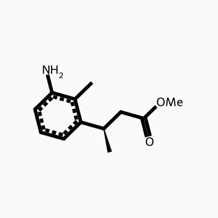 COC(=O)C[C@@H](C)c1cccc(N)c1C